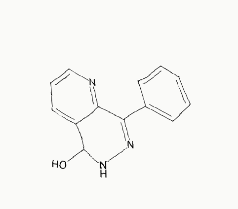 OC1NN=C(c2ccccc2)c2ncccc21